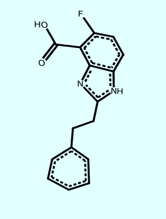 O=C(O)c1c(F)ccc2[nH]c(CCc3ccccc3)nc12